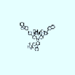 CC1(C)c2ccccc2-c2ccc(N(c3ccc4c(c3)C(C)(C)c3cc(-c5ccc6ccccc6c5)ccc3-4)c3ccc4c(c3)C(C)(C)c3cc(-c5ccc6c(c5)oc5ccccc56)ccc3-4)cc21